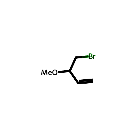 C=CC(CBr)OC